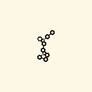 C1=Cc2c(c3cc(-c4ccc5c(c4)c4ccccc4n5-c4ccccc4-c4ccccc4)ccc3n2-c2ccc(-c3ccccc3)cc2)CC1